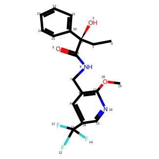 CC[C@](O)(C(=O)NCc1cc(C(F)(F)F)cnc1OC)c1ccccc1